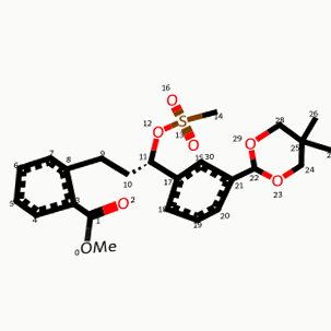 COC(=O)c1ccccc1CC[C@H](OS(C)(=O)=O)c1cccc(C2OCC(C)(C)CO2)c1